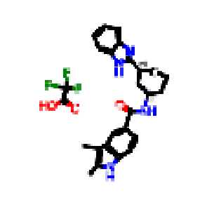 Cc1[nH]c2ccc(C(=O)N[C@@H]3CCC[C@H](c4nc5ccccc5[nH]4)C3)cc2c1C.O=C(O)C(F)(F)F